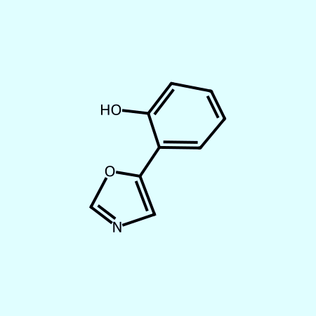 Oc1ccccc1-c1cnco1